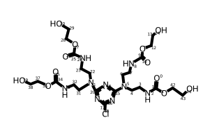 O=C(NCCN(CCNC(=O)OCCO)c1nc(Cl)nc(N(CCNC(=O)OCCO)CCNC(=O)OCCO)n1)OCCO